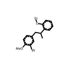 CCOc1ccccc1C(C)Cc1ccc(OC)c(C(C)C)c1